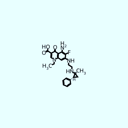 CCn1cc(C(=O)O)c(=O)c2c(N)c(F)c(NCCN[C@]3(C)C[C@@H]3c3ccccc3)cc21